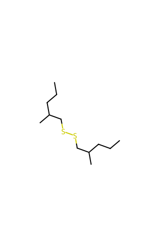 CCCC(C)CSSCC(C)CCC